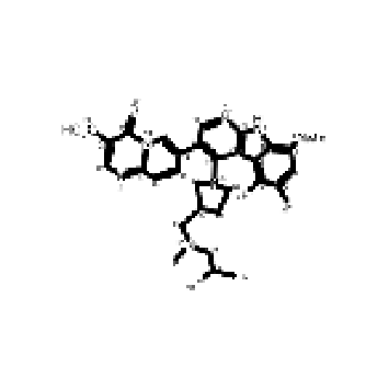 CNc1cc(F)c(F)c2c1[nH]c1ncc(-c3ccc4ncc(C(=O)O)c(=O)n4c3)c(N3CCC(CN(C)CC(F)F)C3)c12